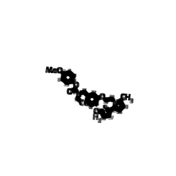 COc1ccc(OC(=O)N(CC(=O)O)Cc2cccc(OCCn3c(C)ccc3-c3ccc(C)s3)c2)cc1